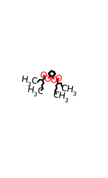 CCCCC(CCC)C(=O)Oc1ccccc1OC(=O)C(CCC)CCCC